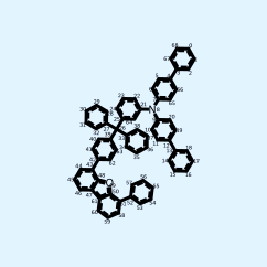 c1ccc(-c2ccc(N(c3ccc(-c4ccccc4)cc3)c3cccc(C(c4ccccc4)(c4ccccc4)c4ccc(-c5cccc6c5oc5c(-c7ccccc7)cccc56)cc4)c3)cc2)cc1